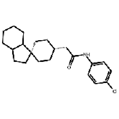 O=C(C[C@H]1CC[C@@]2(CCC3CCCCC32)CC1)Nc1ccc(Cl)cc1